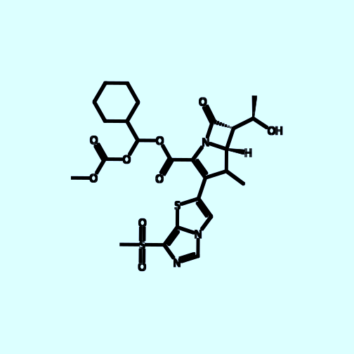 COC(=O)OC(OC(=O)C1=C(c2cn3cnc(S(C)(=O)=O)c3s2)C(C)[C@H]2[C@@H]([C@@H](C)O)C(=O)N12)C1CCCCC1